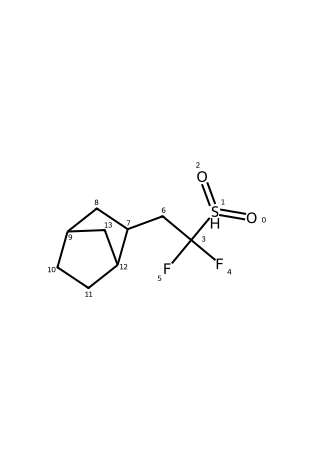 O=[SH](=O)C(F)(F)CC1CC2CCC1C2